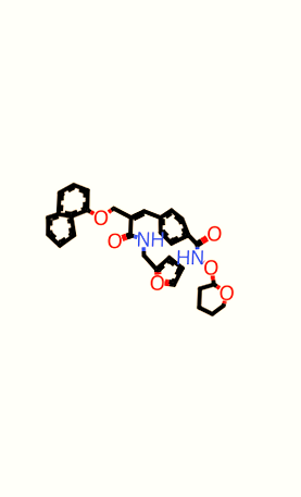 O=C(NCc1ccco1)C(=Cc1ccc(C(=O)NOC2CCCCO2)cc1)COc1cccc2ccccc12